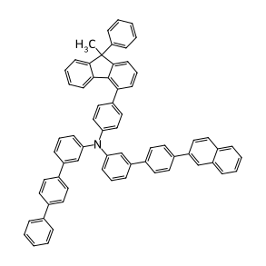 CC1(c2ccccc2)c2ccccc2-c2c(-c3ccc(N(c4cccc(-c5ccc(-c6ccccc6)cc5)c4)c4cccc(-c5ccc(-c6ccc7ccccc7c6)cc5)c4)cc3)cccc21